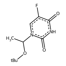 CC(OC(C)(C)C)n1cc(F)c(=O)[nH]c1=O